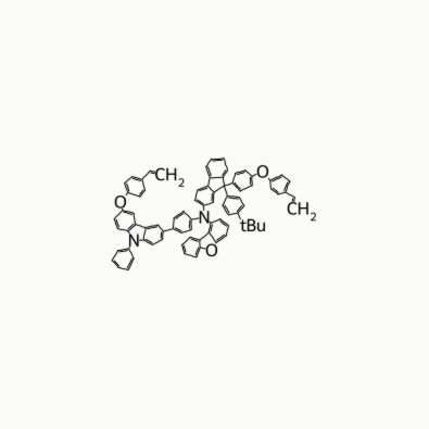 C=Cc1ccc(Oc2ccc(C3(c4ccc(C(C)(C)C)cc4)c4ccccc4-c4ccc(N(c5ccc(-c6ccc7c(c6)c6cc(Oc8ccc(C=C)cc8)ccc6n7-c6ccccc6)cc5)c5cccc6oc7ccccc7c56)cc43)cc2)cc1